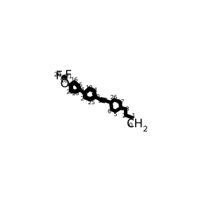 C=CCCC1CCC(C#Cc2ccc(-c3ccc(OC(F)F)cc3)cc2)CC1